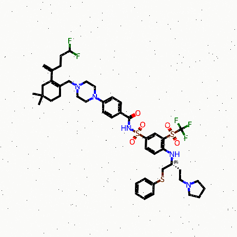 C=C(CCC(F)F)C1=C(CN2CCN(c3ccc(C(=O)NS(=O)(=O)c4ccc(N[C@H](CCN5CCCC5)CSc5ccccc5)c(S(=O)(=O)C(F)(F)F)c4)cc3)CC2)CCC(C)(C)C1